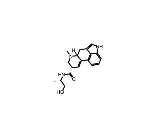 C[C@@H](CO)NC(=O)[C@H]1C=C2c3cccc4[nH]cc(c34)C[C@H]2N(C)C1